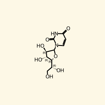 O=c1ccn(C2O[C@H]([C@H](O)CO)[C@H](O)[C@H]2O)c(=O)[nH]1